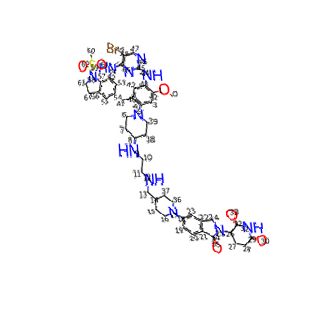 COc1cc(N2CCC(NCCNCC3CCN(c4ccc5c(c4)CN(C4CCC(=O)NC4=O)C5=O)CC3)CC2)c(C)cc1Nc1ncc(Br)c(Nc2cccc3c2N(S(C)(=O)=O)CC3)n1